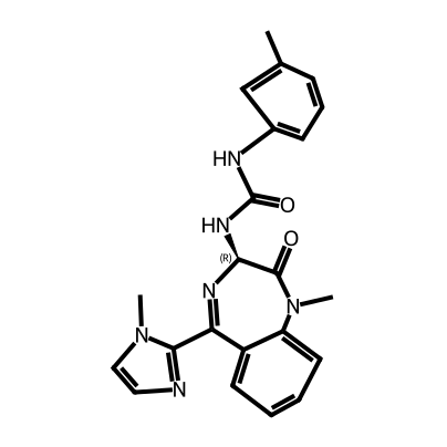 Cc1cccc(NC(=O)N[C@@H]2N=C(c3nccn3C)c3ccccc3N(C)C2=O)c1